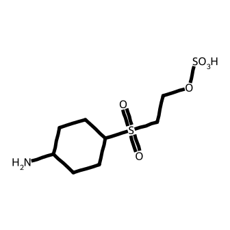 NC1CCC(S(=O)(=O)CCOS(=O)(=O)O)CC1